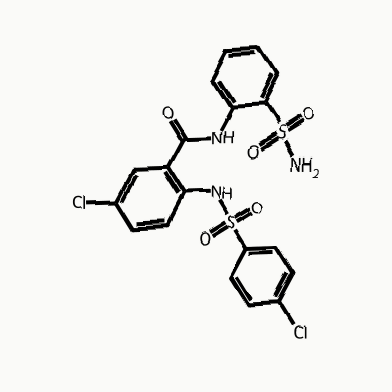 NS(=O)(=O)c1ccccc1NC(=O)c1cc(Cl)ccc1NS(=O)(=O)c1ccc(Cl)cc1